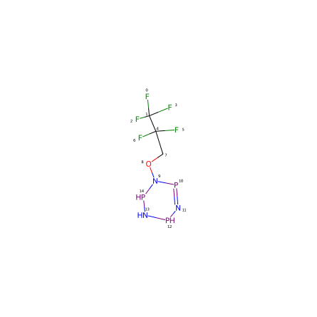 FC(F)(F)C(F)(F)COn1pn[pH][nH][pH]1